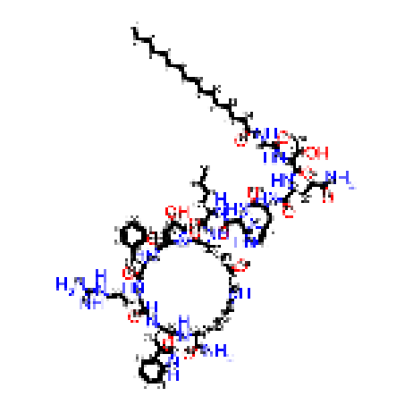 CCCCCCCCCCCCCCCC(=O)NCC(=O)N[C@H](C(=O)N[C@@H](CCC(N)=O)C(=O)N[C@H]1Cc2c[nH]c(n2)C(C(=O)N[C@@H](CCCC)C(=O)N[C@H]2CCC(=O)CNCCCC[C@@H](C(N)=O)NC(=O)[C@H](Cc3c[nH]c4ccccc34)NC(=O)[C@H](CCCNC(=N)N)NC(=O)[C@@H](Cc3ccccc3)NC(=O)[C@@H]3C[C@@H](O)CN3C2=O)NC1=O)[C@@H](C)O